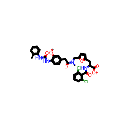 COc1cc(CC(=O)N(C)Cc2ccc(CC(NC(=O)c3c(Cl)cccc3Cl)C(=O)O)o2)ccc1NC(=O)Nc1ccccc1C